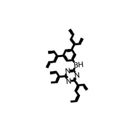 C=C/C=C(\C=C)c1cc(Bc2nc(/C(C=C)=C/C)nc(/C(C=C)=C/C=C\C)n2)cc(/C(C=C)=C/C=C)c1